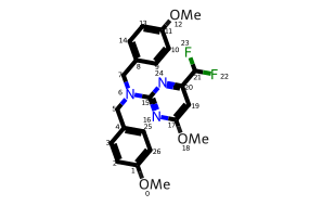 COc1ccc(CN(Cc2ccc(OC)cc2)c2nc(OC)cc(C(F)F)n2)cc1